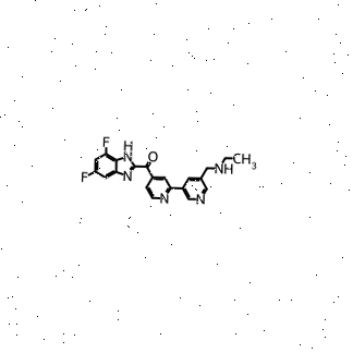 CCNCc1cncc(-c2cc(C(=O)c3nc4cc(F)cc(F)c4[nH]3)ccn2)c1